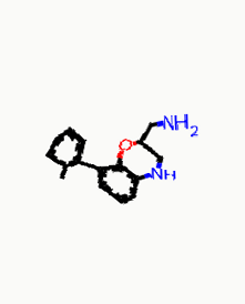 Cc1ccccc1-c1cccc2c1OC(CN)CN2